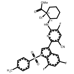 CC[C@@]1(C(=O)OC)CCCC[C@H]1Nc1nc(-c2cn(S(=O)(=O)c3ccc(C)cc3)c3c(F)cc(F)cc23)c(C#N)cc1F